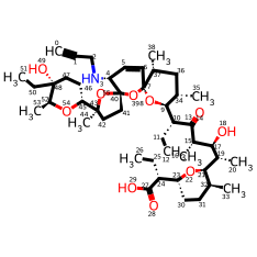 C#CCN[C@@H]1C=C[C@]2(O[C@H]([C@@H](CC)C(=O)[C@@H](C)[C@@H](O)[C@H](C)[C@@H]3O[C@@H]([C@@H](CC)C(=O)O)CC[C@@H]3C)[C@@H](C)C[C@H]2C)O[C@@]12CC[C@@](C)([C@H]1CC[C@](O)(CC)[C@H](C)O1)O2